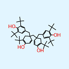 CC(C)(C)C1=C(O)C=CC(Cc2cc(C(C)(C)C)c(O)c(C(C)(C)C)c2)(CC2(Cc3cc(C(C)(C)C)c(O)c(C(C)(C)C)c3)C=CC(O)=C(C(C)(C)C)C2)C1